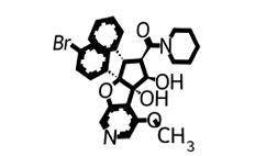 COc1cncc2c1[C@]1(O)[C@H](O)[C@H](C(=O)N3CCCCC3)[C@@H](c3ccccc3)[C@]1(c1ccc(Br)cc1)O2